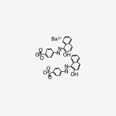 O=S(=O)([O-])c1ccc(/N=N/c2c(O)ccc3ccccc23)cc1.O=S(=O)([O-])c1ccc(/N=N/c2c(O)ccc3ccccc23)cc1.[Ba+2]